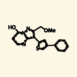 COCc1nn2c(O)ccnc2c1-c1cc(-c2ccccc2)cs1